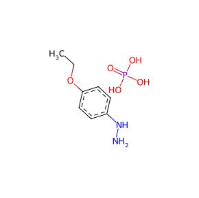 CCOc1ccc(NN)cc1.O=P(O)(O)O